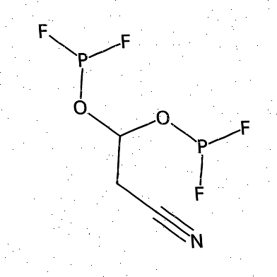 N#CCC(OP(F)F)OP(F)F